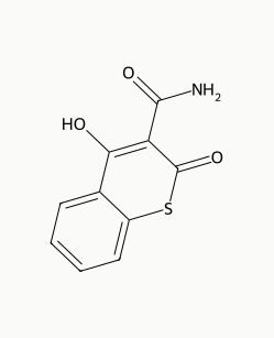 NC(=O)c1c(O)c2ccccc2sc1=O